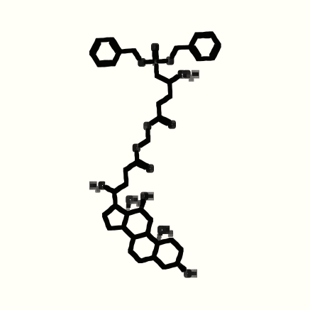 CC(CCC(=O)OCOC(=O)CCC(CP(=O)(OCc1ccccc1)OCc1ccccc1)C(=O)O)C1CCC2C3CCC4C[C@H](O)CC[C@]4(C)C3C[C@H](O)[C@]12C